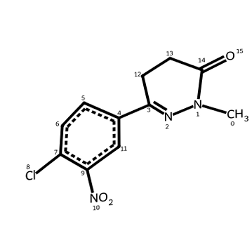 CN1N=C(c2ccc(Cl)c([N+](=O)[O-])c2)CCC1=O